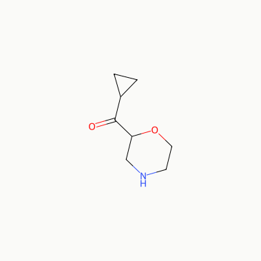 O=C(C1CC1)C1CNCCO1